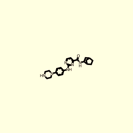 O=C(NC1CC2CCC1C2)c1ccnc(Nc2ccc(N3CCNCC3)cc2)n1